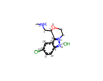 CNCC1OCCn2nc3ccc(Cl)cc3c21.Cl